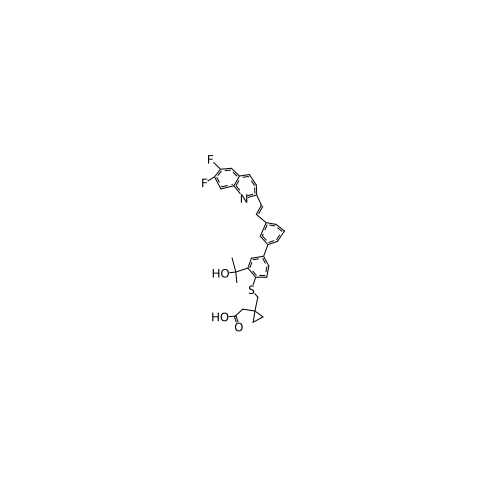 CC(C)(O)c1cc(-c2cccc(C=Cc3ccc4cc(F)c(F)cc4n3)c2)ccc1SCC1(CC(=O)O)CC1